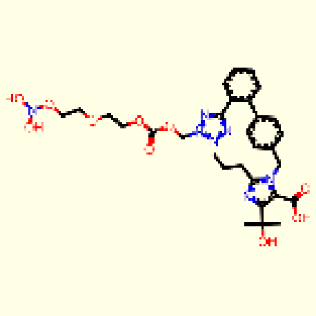 CCCc1nc(C(C)(C)O)c(C(=O)O)n1Cc1ccc(-c2ccccc2-c2nnn(COC(=O)OCCOCCON(O)O)n2)cc1